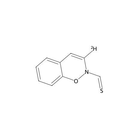 [2H]C1=Cc2ccccc2ON1C=S